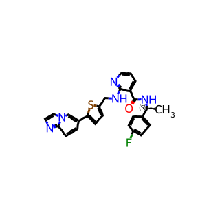 C[C@H](NC(=O)c1cccnc1NCc1ccc(-c2ccc3nccn3c2)s1)c1ccc(F)cc1